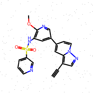 C#Cc1cnn2ccc(-c3cnc(OC)c(NS(=O)(=O)c4cccnc4)c3)cc12